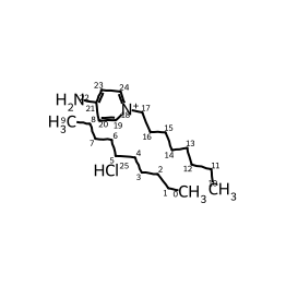 CCCCCCCCCC.CCCCCCCC[n+]1ccc(N)cc1.Cl